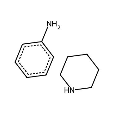 C1CCNCC1.Nc1ccccc1